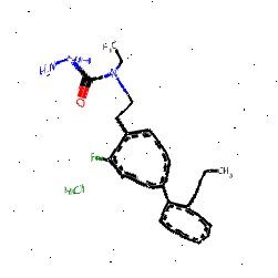 CCc1ccccc1-c1ccc(CCN(CC)C(=O)NN)c(F)c1.Cl